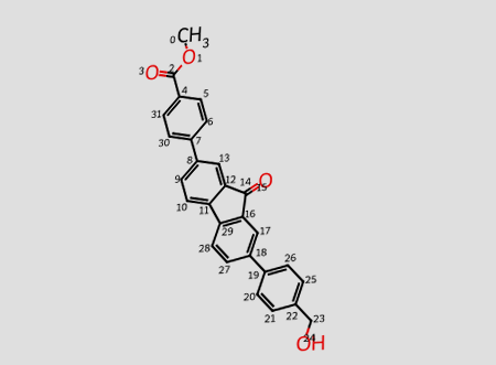 COC(=O)c1ccc(-c2ccc3c(c2)C(=O)c2cc(-c4ccc(CO)cc4)ccc2-3)cc1